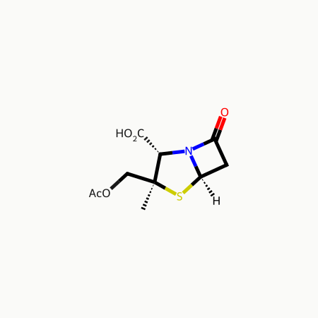 CC(=O)OC[C@]1(C)S[C@@H]2CC(=O)N2[C@H]1C(=O)O